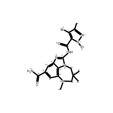 CCn1nc(C)c(Br)c1C(=O)Nc1nc2cc(C(N)=O)cc3c2n1CC(C)(C)CN3C